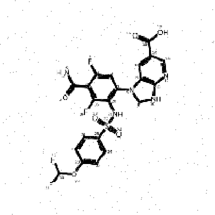 NC(=O)c1c(F)cc(N2CNc3ncc(C(=O)O)cc32)c(NS(=O)(=O)c2ccc(OC(F)F)cc2)c1F